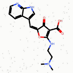 CN(C)CCNC1=C(C(=O)O)C(=O)C(=Cc2c[nH]c3ncccc23)O1